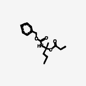 CCCC(C)(NC(=O)OCc1ccccc1)OC(=O)CC